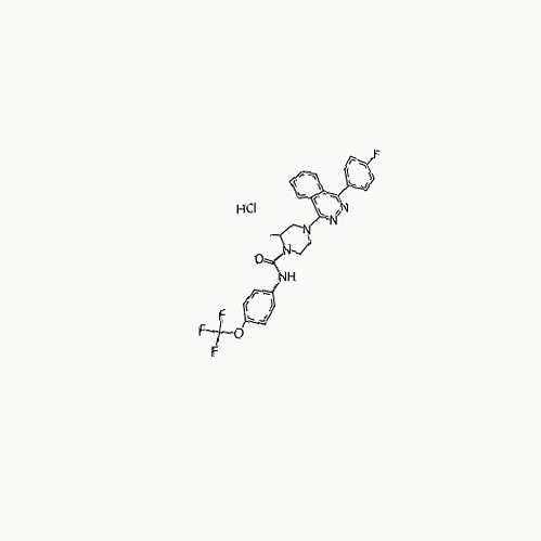 CC1CN(c2nnc(-c3ccc(F)cc3)c3ccccc23)CCN1C(=O)Nc1ccc(OC(F)(F)F)cc1.Cl